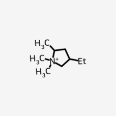 CCC1CC(C)[N+](C)(C)C1